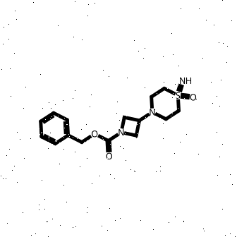 N=S1(=O)CCN(C2CN(C(=O)OCc3ccccc3)C2)CC1